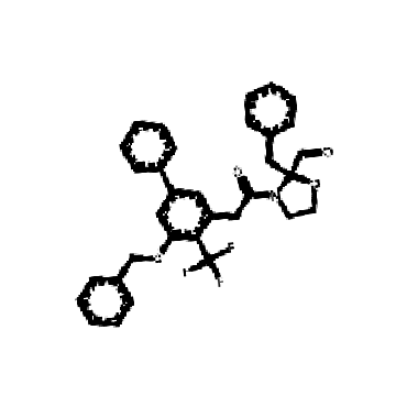 O=CC1(Cc2ccccc2)OCCN1C(=O)Cc1cc(-c2ccccc2)cc(OCc2ccccc2)c1C(F)(F)F